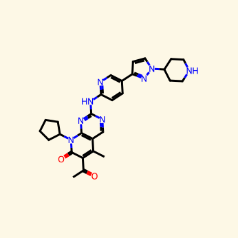 CC(=O)c1c(C)c2cnc(Nc3ccc(-c4ccn(C5CCNCC5)n4)cn3)nc2n(C2CCCC2)c1=O